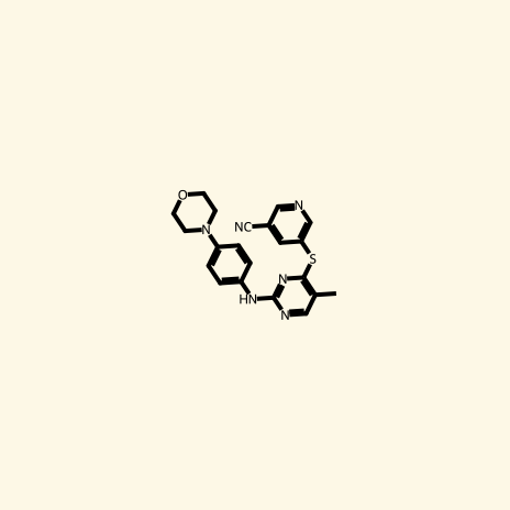 Cc1cnc(Nc2ccc(N3CCOCC3)cc2)nc1Sc1cncc(C#N)c1